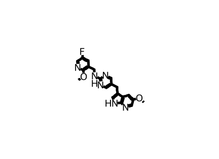 COc1cnc2[nH]cc(Cc3cnc(NCc4cc(F)cnc4OC)nc3)c2c1